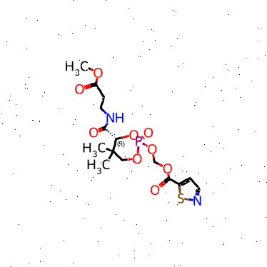 COC(=O)CCNC(=O)[C@@H]1OP(=O)(OCOC(=O)c2ccns2)OCC1(C)C